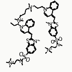 CCC(N1C=C/C(=C\c2sc3cc(S(=O)(=O)N(C)CC[N+](C)(C)C)ccc3[n+]2C)c2ccccc21)[N+](C)(C)CCC[N+](C)(C)CCCN1C=C/C(=C\c2sc3cc(S(=O)(=O)N(C)CC[N+](C)(C)C)ccc3[n+]2C)c2ccccc21